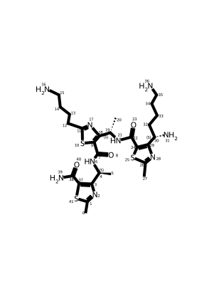 Cc1nc([C@H](C)NC(=O)c2sc(CCCCN)nc2[C@H](C)NC(=O)c2sc(C)nc2[C@@H](N)CCCCN)c(C(N)=O)s1